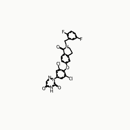 O=C1c2ccc(Oc3c(Cl)cc(-n4ncc(=O)[nH]c4=O)cc3Cl)cc2CCN1Cc1cc(F)ccc1F